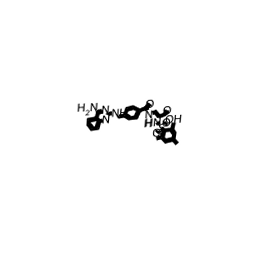 Cc1cc(C)c(S(=O)(=O)NC(CNC(=O)c2ccc(CNc3nc(N)c4ccccc4n3)cc2)C(=O)O)c(C)c1